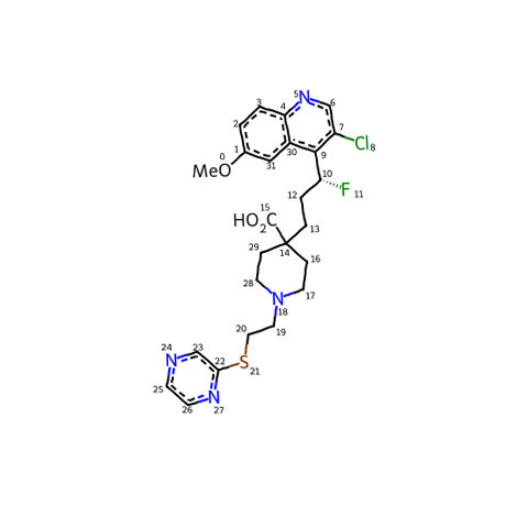 COc1ccc2ncc(Cl)c([C@H](F)CCC3(C(=O)O)CCN(CCSc4cnccn4)CC3)c2c1